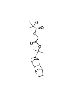 CCC(C)(C)C(=O)OCC(=O)OC(C)(C)C1CC2CC1C1C3CCC(C3)C21